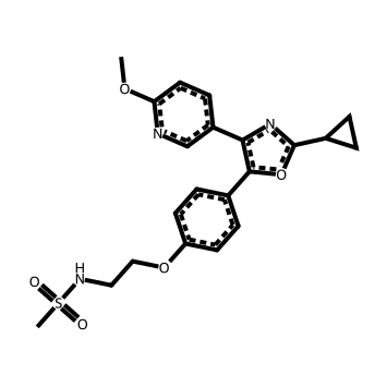 COc1ccc(-c2nc(C3CC3)oc2-c2ccc(OCCNS(C)(=O)=O)cc2)cn1